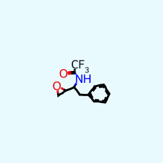 O=C(NC(Cc1ccccc1)C1CO1)C(F)(F)F